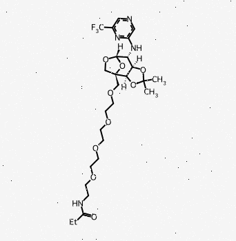 CCC(=O)NCCOCCOCCOCCOC[C@@]12CO[C@@H](O1)[C@H](Nc1cncc(C(F)(F)F)n1)[C@H]1OC(C)(C)O[C@H]12